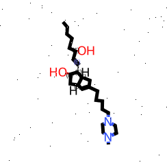 CCCCC[C@H](O)/C=C/[C@@H]1[C@H]2CC(CCCCCN3CCN(C)CC3)=C[C@H]2C[C@H]1O